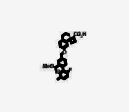 CO[C@H](c1cc(COc2ccc3c(c2)[C@]2(CCC3)CC[C@@H]2C(=O)O)ccc1-c1cc(C)ccc1F)C(C)(C)C